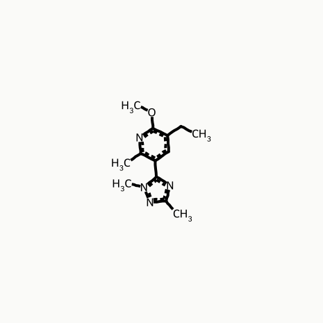 CCc1cc(-c2nc(C)nn2C)c(C)nc1OC